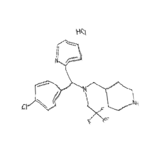 Cl.FC(F)(F)CN(CC1CCNCC1)C(c1ccc(Cl)cc1)c1ccccn1